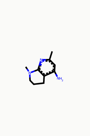 Cc1cc(N)c2c(n1)N(C)CCC2